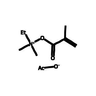 C=C(C)C(=O)O[N+](C)(C)CC.CC(=O)[O-]